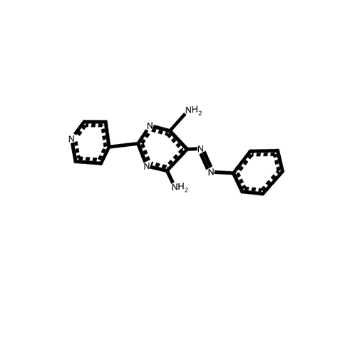 Nc1nc(-c2ccncc2)nc(N)c1N=Nc1ccccc1